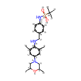 Cc1cc(N2CC(C)OC(C)C2)cc(C)c1NCc1ccc(NS(=O)(=O)C(C)(C)C)cc1